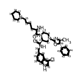 C[C@@H]1N=C(N2CCN(C(=O)C(N)CCCCN3CCCCC3)[C@H](C(=O)NCc3ccc4[nH]cc(Cl)c4c3)C2)O[C@H]1c1ccccc1